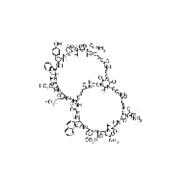 C[C@H](N)C(=O)N[C@H]1CSCC(=O)NCCn2c(=O)n3c(=O)n(c2=O)CCNC(=O)CSC[C@@H](NC(=O)[C@@H](C)NC(=O)[C@H](Cc2cccc4ccccc24)NC(=O)[C@H](CCC(=O)O)NC(=O)[C@H](CC(N)=O)NC(=O)[C@@H](C)NC1=O)C(=O)N[C@@H](CCC(=O)O)C(=O)N[C@@H](CC(=O)O)C(=O)N[C@@H](Cc1ccccc1)C(=O)N[C@@H](Cc1ccc(O)cc1)C(=O)N[C@@H](CC(=O)O)C(=O)N[C@@H](C(C)(C)C)C(=O)N[C@H](C(N)=O)CSCC(=O)NCC3